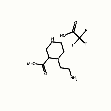 COC(=O)C1CNCCN1CCN.O=C(O)C(F)(F)F